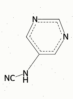 N#CNc1cncnc1